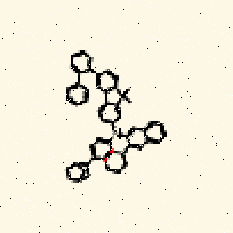 CC1(C)c2ccc(-c3ccccc3-c3ccccc3)cc2-c2ccc(N(c3ccc(C4CC5CCC4C5)cc3)c3cc4ccccc4cc3C3CCCCC3)cc21